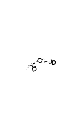 CN(C)c1nc(NC2CCC(NC(=S)NCc3ccccc3Cl)CC2)nc2c1CCCC2